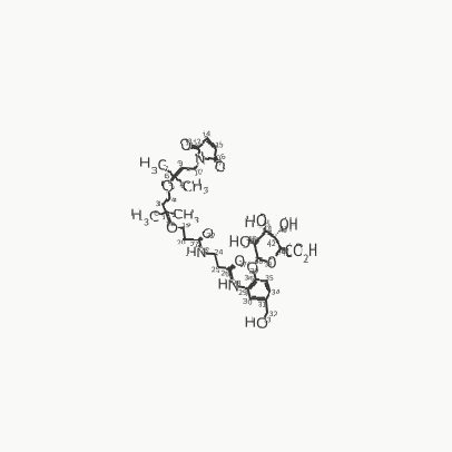 CC(C)(CCOC(C)(C)CCN1C(=O)C=CC1=O)OCCC(=O)NCCC(=O)Nc1cc(CO)ccc1O[C@@H]1O[C@H](C(=O)O)[C@@H](O)[C@H](O)[C@H]1O